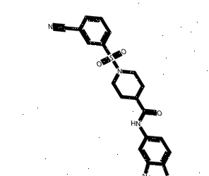 N#Cc1cccc(S(=O)(=O)N2CCC(C(=O)Nc3ccc4scnc4c3)CC2)c1